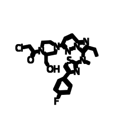 CCc1nc2ccc(N3CCN(C(=O)CCl)C(CO)C3)nn2c1N(C)c1nc(-c2ccc(F)cc2)cs1